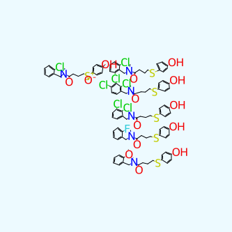 CN(Cc1c(Cl)cccc1Cl)C(=O)CCCSc1ccc(O)cc1.CN(Cc1ccc(Cl)cc1Cl)C(=O)CCCSc1ccc(O)cc1.CN(Cc1cccc(Cl)c1Cl)C(=O)CCCSc1ccc(O)cc1.CN(Cc1ccccc1Cl)C(=O)CCC[S+]([O-])c1ccc(O)cc1.CN(Cc1ccccc1F)C(=O)CCCSc1ccc(O)cc1.COc1ccccc1CN(C)C(=O)CCCSc1ccc(O)cc1